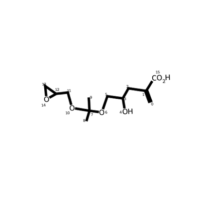 C=C(CC(O)COC(C)(C)OCC1CO1)C(=O)O